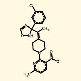 CC(=C1CCN(c2nc(C)ccc2[N+](=O)[O-])CC1)C1(c2cccc(Cl)c2)N=CON1